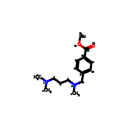 CN(C)CCCN(C)Cc1ccc(C(=O)OC(C)(C)C)cc1